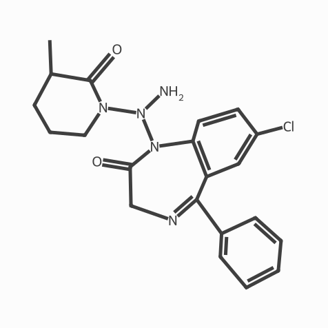 CC1CCCN(N(N)N2C(=O)CN=C(c3ccccc3)c3cc(Cl)ccc32)C1=O